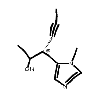 CC#C[C@H](c1cncn1C)C(C)O